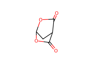 O=C1OC2CC1C(=O)O2